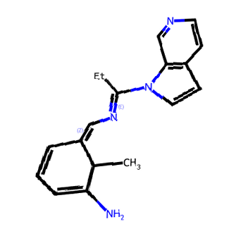 CC/C(=N\C=C1\C=CC=C(N)C1C)n1ccc2ccncc21